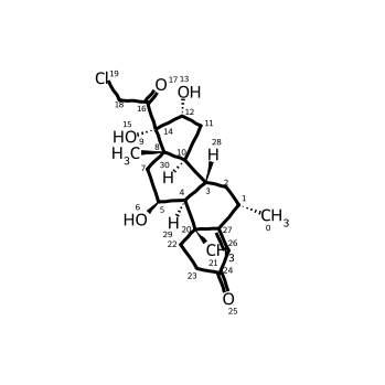 C[C@H]1C[C@@H]2[C@H]([C@@H](O)C[C@@]3(C)[C@H]2C[C@@H](O)[C@]3(O)C(=O)CCl)[C@@]2(C)CCC(=O)C=C12